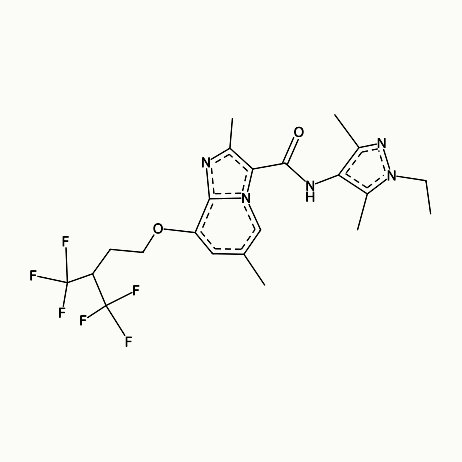 CCn1nc(C)c(NC(=O)c2c(C)nc3c(OCCC(C(F)(F)F)C(F)(F)F)cc(C)cn23)c1C